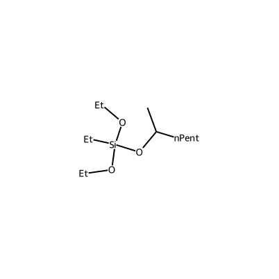 CCCCCC(C)O[Si](CC)(OCC)OCC